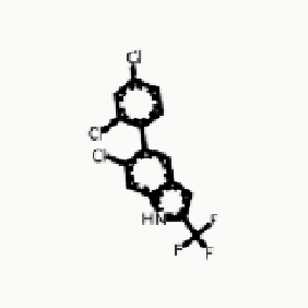 FC(F)(F)c1cc2cc(-c3ccc(Cl)cc3Cl)c(Cl)cc2[nH]1